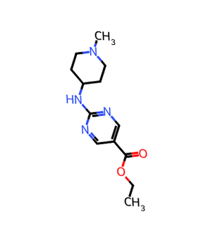 CCOC(=O)c1cnc(NC2CCN(C)CC2)nc1